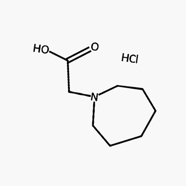 Cl.O=C(O)CN1CCCCCC1